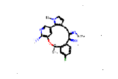 CCn1ccc2c1-c1cnc(N)c(c1)O[C@H](C)c1cc(F)ccc1C(=N)/C(=N\NC)C2